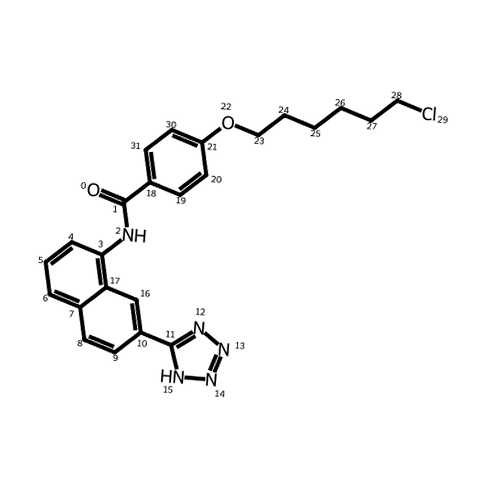 O=C(Nc1cccc2ccc(-c3nnn[nH]3)cc12)c1ccc(OCCCCCCCl)cc1